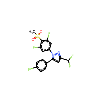 CS(=O)(=O)c1c(F)cc(-n2nc(C(F)F)cc2-c2ccc(F)cc2)cc1F